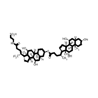 C[C@H](CCC(=O)O[C@@H]1CC[C@@]2(C)[C@@H](C1)C[C@@H](O)[C@@H]1[C@@H]2C[C@H](O)[C@]2(C)[C@@H]([C@H](C)CCC(=O)NCCS(=O)(=O)O)CC[C@@H]12)[C@H]1CC[C@H]2[C@@H]3[C@H](O)C[C@@H]4C[C@H](O)CC[C@]4(C)[C@H]3C[C@H](O)[C@]12C